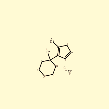 CCC1(C2=[C]([Zr+2])CC=C2)CCCCC1.[Cl-].[Cl-]